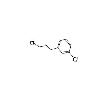 ClC[CH]Cc1cccc(Cl)c1